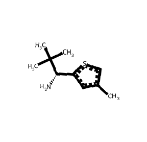 Cc1csc([C@H](N)C(C)(C)C)c1